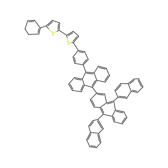 C1=CC(c2ccc(-c3ccc(-c4ccc(-c5c6ccccc6c(-c6ccc7c(-c8ccc9ccccc9c8)c8ccccc8c(-c8ccc9ccccc9c8)c7c6)c6ccccc56)cc4)s3)s2)=CCC1